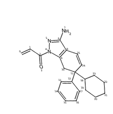 C=CC(=O)n1nc(N)c2c1CC(c1ccccc1)(C1CCCCC1)C=C2